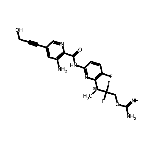 C[C@@H](c1nc(NC(=O)c2ncc(C#CCO)cc2N)ccc1F)C(F)(F)COC(=N)N